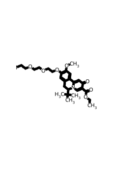 CCOC(=O)c1cn2c(cc1=O)-c1cc(OC)c(OCCOCCOCCI)cc1CC2C(C)(C)C